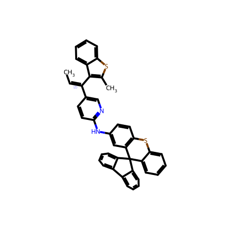 C/C=C(/c1ccc(Nc2ccc3c(c2)C2(c4ccccc4S3)c3ccccc3-c3ccccc32)nc1)c1c(C)sc2ccccc12